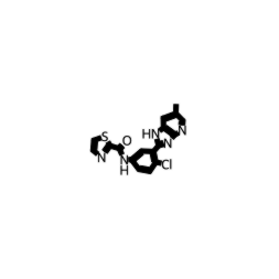 Cc1cnc2nc(-c3cc(NC(=O)c4nccs4)ccc3Cl)[nH]c2c1